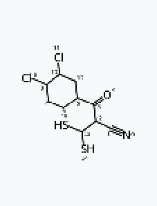 N#CC(C(=O)C1CCC(Cl)C(Cl)C1)C(S)S